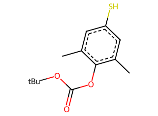 Cc1cc(S)cc(C)c1OC(=O)OC(C)(C)C